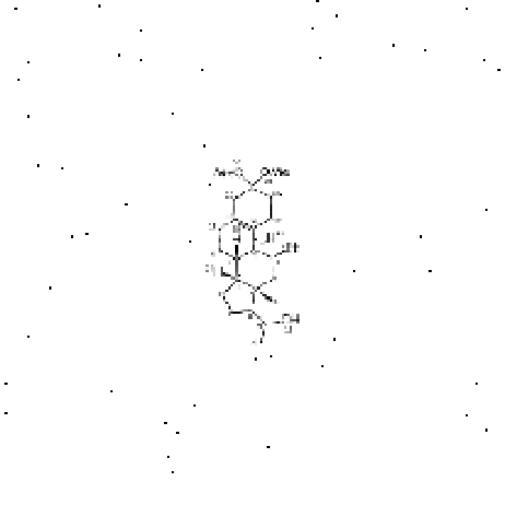 CC[C@H]1C[C@@]2(C)[C@H](CC[C@@H]2[C@H](C)O)[C@@H]2CCC3=C(CCC(OC)(OC)C3)[C@@H]12